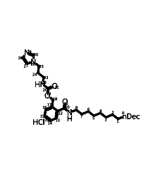 CCCCCCCCCCCCCCCCCCNC(=O)c1ccccc1COC(=O)NCCCn1ccnc1.Cl